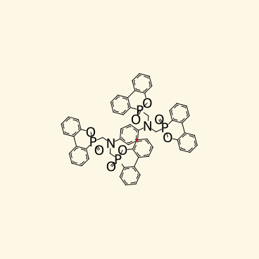 O=P1(CN(CP2(=O)Oc3ccccc3-c3ccccc32)c2ccc(N(CP3(=O)Oc4ccccc4-c4ccccc43)CP3(=O)Oc4ccccc4-c4ccccc43)cc2)Oc2ccccc2-c2ccccc21